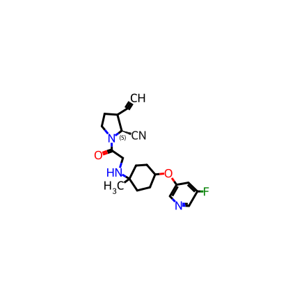 C#CC1CCN(C(=O)CNC2(C)CCC(Oc3cncc(F)c3)CC2)[C@@H]1C#N